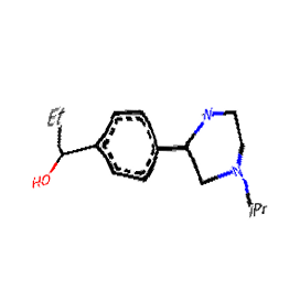 CCC(O)c1ccc(C2CN(C(C)C)CC[N]2)cc1